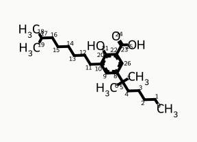 CCCCCC(C)(C)c1cc(CCCCCCC(C)C)c(O)c(C(=O)O)c1